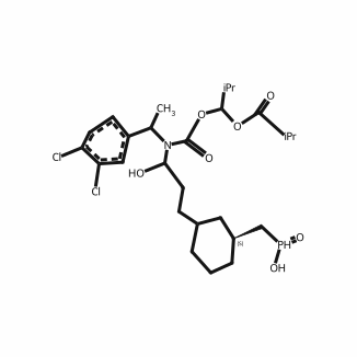 CC(C)C(=O)OC(OC(=O)N(C(O)CCC1CCC[C@H](C[PH](=O)O)C1)C(C)c1ccc(Cl)c(Cl)c1)C(C)C